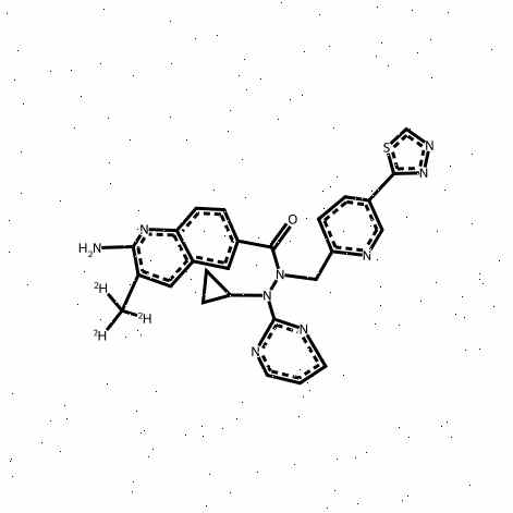 [2H]C([2H])([2H])c1cc2cc(C(=O)N(Cc3ccc(-c4nncs4)cn3)N(c3ncccn3)C3CC3)ccc2nc1N